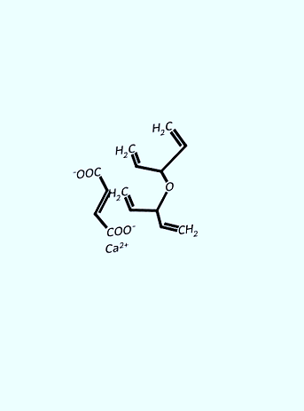 C=CC(C=C)OC(C=C)C=C.O=C([O-])C=CC(=O)[O-].[Ca+2]